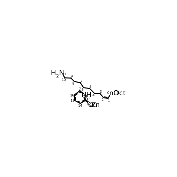 CCCCCCCC/C=C\CCCCCCCCN.O=c1cccc[nH]1.[Zn]